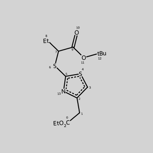 CCOC(=O)Cc1csc(SC(CC)C(=O)OC(C)(C)C)n1